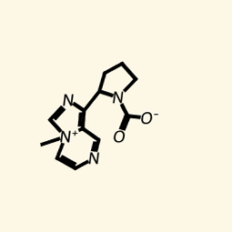 C[N+]12C=CN=CC1=C(C1CCCN1C(=O)[O-])N=C2